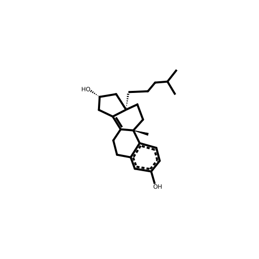 CC(C)CCC[C@]12CC[C@@]3(C)C(=C1C[C@H](O)C2)CCc1cc(O)ccc13